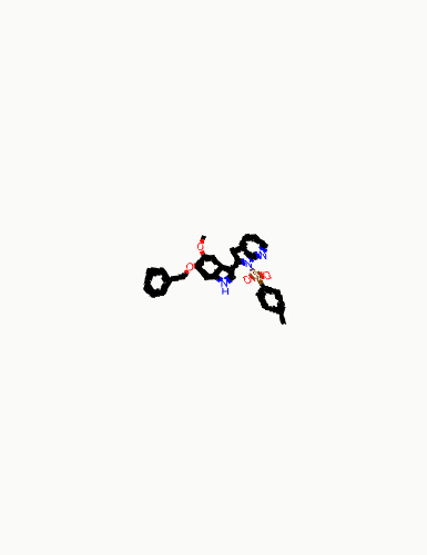 COc1cc2c(-c3cc4cccnc4n3S(=O)(=O)c3ccc(C)cc3)c[nH]c2cc1OCc1ccccc1